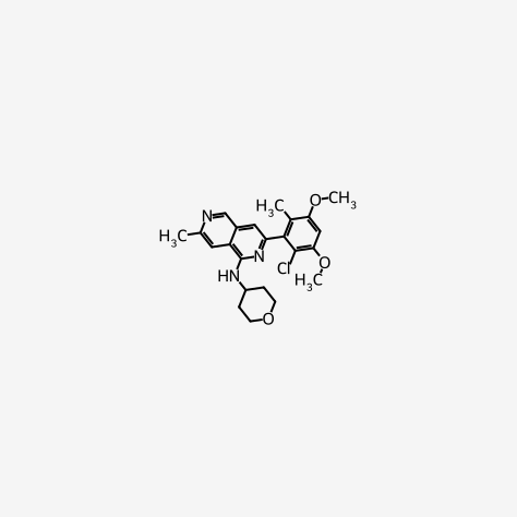 COc1cc(OC)c(Cl)c(-c2cc3cnc(C)cc3c(NC3CCOCC3)n2)c1C